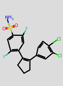 NS(=O)(=O)c1cc(F)c(C2=C(c3ccc(Cl)c(Cl)c3)CCC2)cc1F